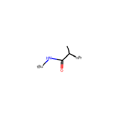 CCCC(C)C(=O)NC(C)(C)C